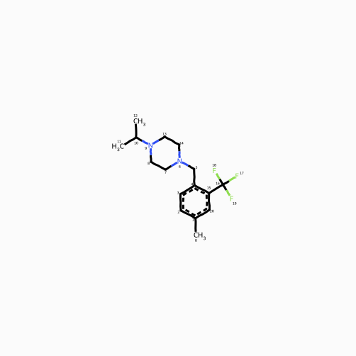 Cc1ccc(CN2CCN(C(C)C)CC2)c(C(F)(F)F)c1